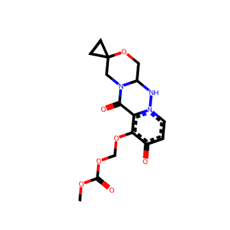 COC(=O)OCOc1c2n(ccc1=O)NC1COC3(CC3)CN1C2=O